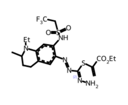 C=C(S/C(N=Nc1cc2c(cc1NS(=O)(=O)CC(F)(F)F)N(CC)C(C)CC2)=N\N)C(=O)OCC